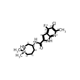 Cc1nc2[nH]c(C(=O)N[C@H]3CCC[Si](C)(C)NC3)cc2c(F)c1Cl